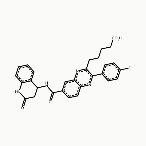 O=C(O)CCCCc1nc2cc(C(=O)NC3CC(=O)Nc4ccccc43)ccc2nc1-c1ccc(F)cc1